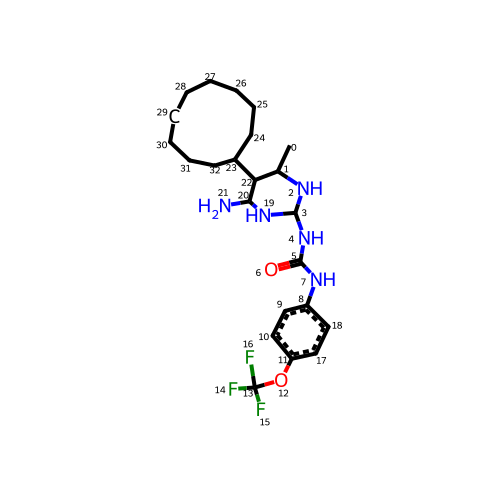 CC1NC(NC(=O)Nc2ccc(OC(F)(F)F)cc2)NC(N)C1C1CCCCCCCCC1